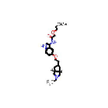 COCCOCC(=O)Nc1c[nH]c2ccc(OCCC3C[C@@H]4CN(CC(F)(F)F)C[C@@H]4C3)cc12